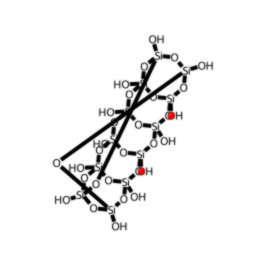 O[Si]12O[Si]3(O)O[Si]4(O)O[Si](O)(O1)O[Si]1(O)O[Si](O)(O4)O[Si]4(O)O[Si](O)(O1)O[Si]1(O)O[Si](O)(O[Si](O)(O[Si](O)(O2)O1)O3)O4